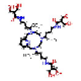 O=CC(CCCNC(=O)C(CO)CO)N1CCN(C(CCCNC(=O)C(CO)CO)C(=O)O)Cc2cccc(n2)CN(C(CCCNC(=O)C(CO)CO)C(=O)O)CC1